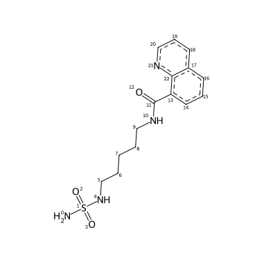 NS(=O)(=O)NCCCCCNC(=O)c1cccc2cccnc12